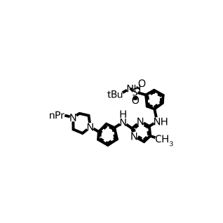 CCCN1CCN(c2cccc(Nc3ncc(C)c(Nc4cccc(S(=O)(=O)NC(C)(C)C)c4)n3)c2)CC1